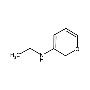 CCNC1=CC=CO[C]1